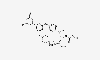 CNC(=O)NCC1(O)CCN(Cc2cc(Oc3ccc(N4CCN(C(=O)OC(C)(C)C)CC4)nc3)nc(-c3cc(Cl)cc(Cl)c3)c2)CC1